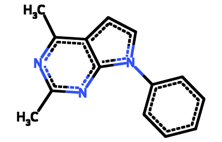 Cc1nc(C)c2ccn(-c3ccccc3)c2n1